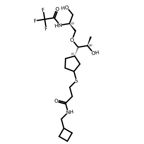 C[C@@H](O)C(OC[C@H](CO)NC(=O)C(F)(F)F)[C@H]1CCC(SCCC(=O)NCC2CCC2)C1